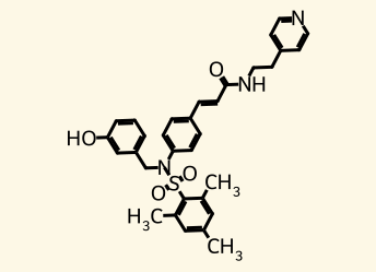 Cc1cc(C)c(S(=O)(=O)N(Cc2cccc(O)c2)c2ccc(/C=C/C(=O)NCCc3ccncc3)cc2)c(C)c1